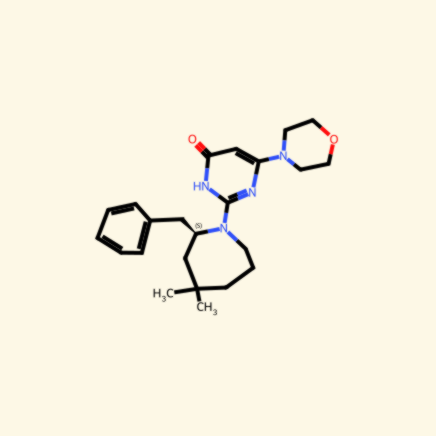 CC1(C)CCCN(c2nc(N3CCOCC3)cc(=O)[nH]2)[C@H](Cc2ccccc2)C1